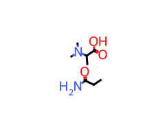 CC(C(=O)O)N(C)C.CCC(N)=O